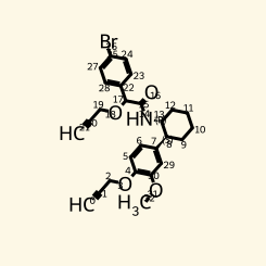 C#CCOc1ccc([C@@H]2CCCC[C@H]2NC(=O)C(OCC#C)c2ccc(Br)cc2)cc1OC